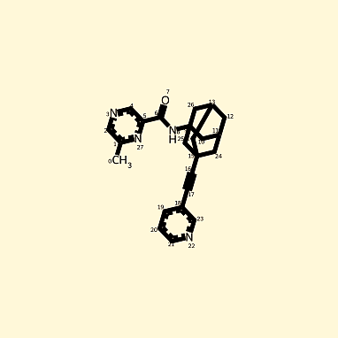 Cc1cncc(C(=O)NC23CC4CC(CC(C#Cc5cccnc5)(C4)C2)C3)n1